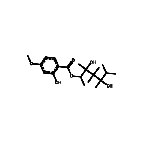 COc1ccc(C(=O)OC(C)C(C)(O)C(C)(C)C(C)(O)C(C)C)c(O)c1